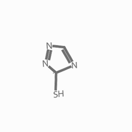 S[C]1N=CN=N1